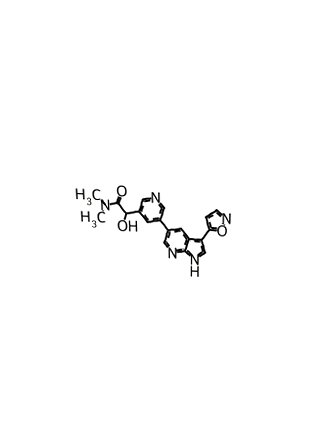 CN(C)C(=O)C(O)c1cncc(-c2cnc3[nH]cc(-c4ccno4)c3c2)c1